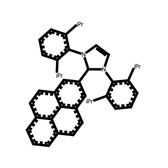 CC(C)c1cccc(C(C)C)c1N1C=CN(c2c(C(C)C)cccc2C(C)C)C1c1cc2ccc3cccc4ccc(c1)c2c34